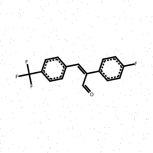 O=CC(=Cc1ccc(C(F)(F)F)cc1)c1ccc(F)cc1